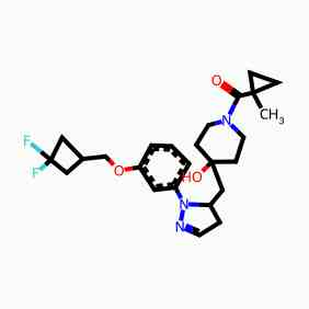 CC1(C(=O)N2CCC(O)(CC3CC=NN3c3cccc(OCC4CC(F)(F)C4)c3)CC2)CC1